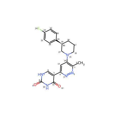 Cc1nnc(-c2c[nH]c(=O)[nH]c2=O)cc1N1CCC[C@H](c2ccc(F)cc2)C1